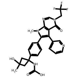 Cn1c(-c2ccc(C3(NC(=O)O)CC(C)(O)C3)cc2)c(-c2cccnc2)c2c(=O)n(CC(F)(F)F)cnc21